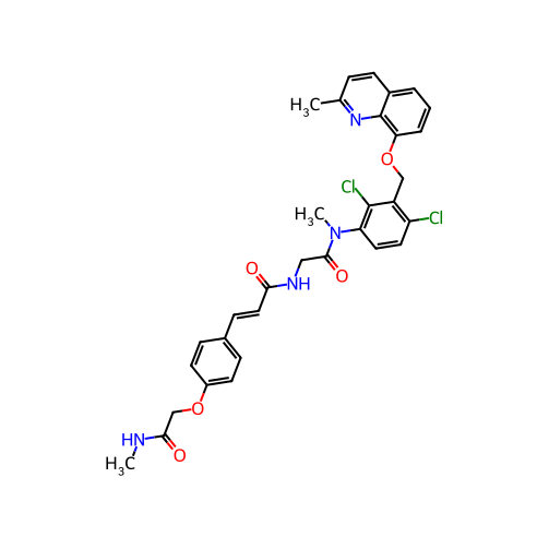 CNC(=O)COc1ccc(C=CC(=O)NCC(=O)N(C)c2ccc(Cl)c(COc3cccc4ccc(C)nc34)c2Cl)cc1